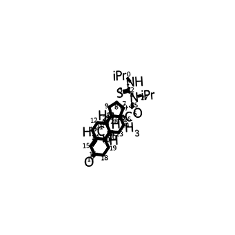 CC(C)NC(=S)N(C(=O)[C@H]1CC[C@H]2[C@@H]3CCC4=CC(=O)CC[C@]4(C)[C@H]3CC[C@]12C)C(C)C